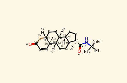 CCCC(CC)(CC)NC(=O)[C@H]1CC[C@H]2[C@@H]3CC[C@H]4SC(=O)C=C[C@]4(C)[C@H]3CC[C@]12C